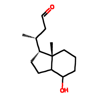 C[C@H](CC=O)[C@H]1CCC2C(O)CCC[C@]21C